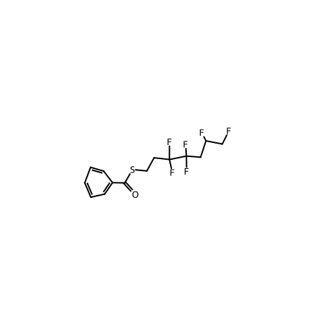 O=C(SCCC(F)(F)C(F)(F)CC(F)CF)c1ccccc1